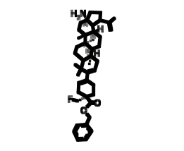 C=C(C)C1CC[C@]2(N)CC[C@]3(C)[C@H](CC[C@H]4[C@@]5(C)CC=C(C6=CC[C@](CF)(C(=O)OCc7ccccc7)CC6)C(C)(C)C5CC[C@]43C)C12